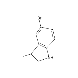 CC1CNc2ccc(Br)cc21